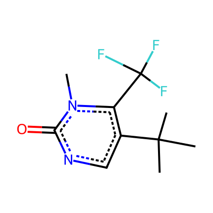 Cn1c(C(F)(F)F)c(C(C)(C)C)cnc1=O